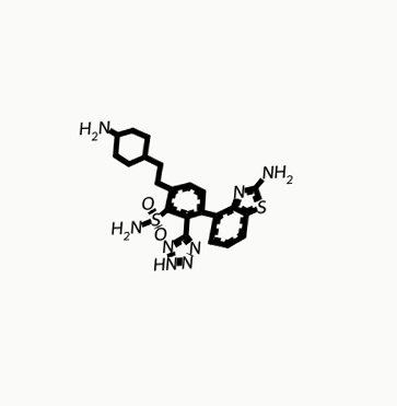 Nc1nc2c(-c3ccc(CCC4CCC(N)CC4)c(S(N)(=O)=O)c3-c3nn[nH]n3)cccc2s1